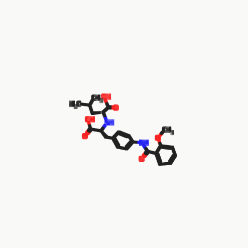 COc1ccccc1C(=O)Nc1ccc(C[C@H](N[C@@H](CC(C)C)C(=O)O)C(=O)O)cc1